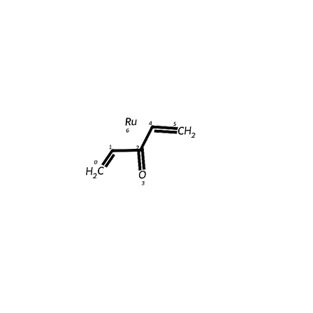 C=CC(=O)C=C.[Ru]